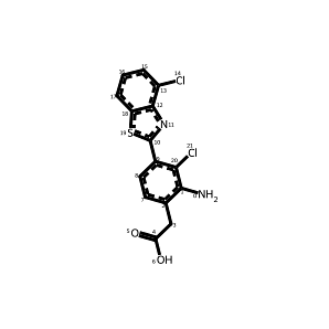 Nc1c(CC(=O)O)ccc(-c2nc3c(Cl)cccc3s2)c1Cl